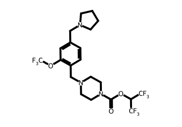 O=C(OC(C(F)(F)F)C(F)(F)F)N1CCN(Cc2ccc(CN3CCCC3)cc2OC(F)(F)F)CC1